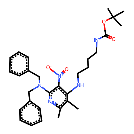 Cc1nc(N(Cc2ccccc2)Cc2ccccc2)c([N+](=O)[O-])c(NCCCCNC(=O)OC(C)(C)C)c1C